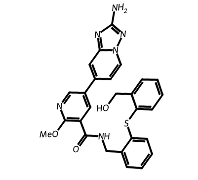 COc1ncc(-c2ccn3nc(N)nc3c2)cc1C(=O)NCc1ccccc1Sc1ccccc1CO